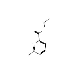 CCOC(=O)c1cccc(C)n1